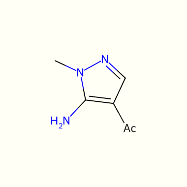 CC(=O)c1cnn(C)c1N